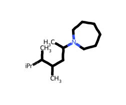 CC(C)C(C)C(C)CC(C)N1CCCCCC1